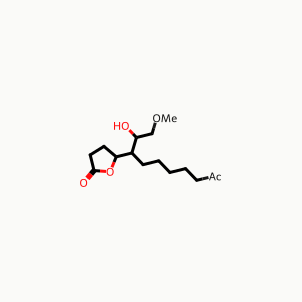 COCC(O)C(CCCCCC(C)=O)C1CCC(=O)O1